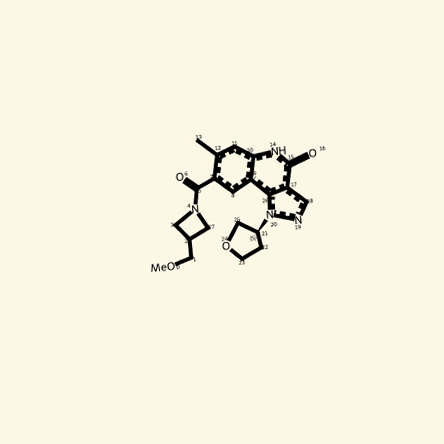 COCC1CN(C(=O)c2cc3c(cc2C)[nH]c(=O)c2cnn([C@H]4CCOC4)c23)C1